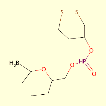 BC(C)OC(CC)CO[PH](=O)OC1CCSSC1